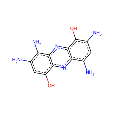 Nc1cc(O)c2nc3c(N)cc(N)c(O)c3nc2c1N